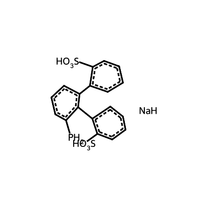 O=S(=O)(O)c1ccccc1-c1cccc(P)c1-c1ccccc1S(=O)(=O)O.[NaH]